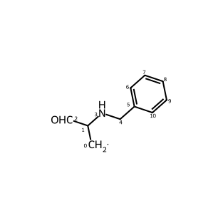 [CH2]C(C=O)NCc1ccccc1